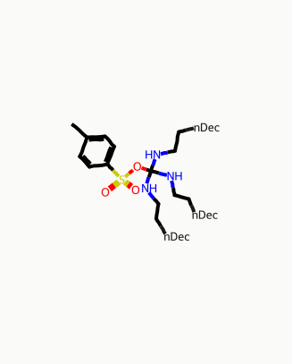 CCCCCCCCCCCCNC(NCCCCCCCCCCCC)(NCCCCCCCCCCCC)OS(=O)(=O)c1ccc(C)cc1